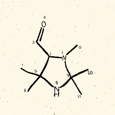 CN1C(C=O)C(C)(C)NC1(C)C